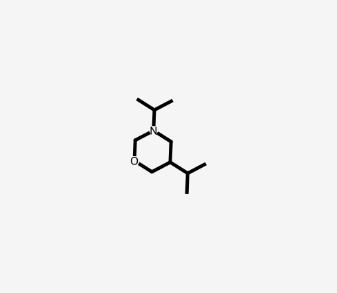 CC(C)C1COCN(C(C)C)C1